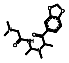 CC(NC(=O)CN(C)C)N(C)C(C)C(=O)c1ccc2c(c1)OCO2